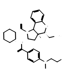 COC[C@@H]1Nc2ccccc2[C@H]2[C@H]1CCN2C(=O)[C@H]1CCCC[C@H]1NC(=O)c1ccc(N(C)CCO)cc1